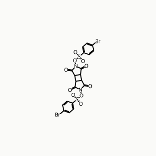 O=C1C2C(C(=O)N1OS(=O)(=O)c1ccc(Br)cc1)C1C(=O)N(OS(=O)(=O)c3ccc(Br)cc3)C(=O)C21